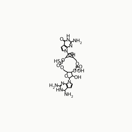 NC1=Nc2c(ccn2C2OC3COP(=O)(S)OC4C(O)C(COP(=O)(O)OC3C2O)OC4n2ccc3c(=O)[nH]c(N)nc32)C(N)N1